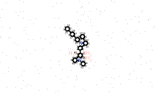 Bc1c(-c2ccc3c(c2)c2cccc(-c4ccccc4)c2n3-c2ccc(-c3ccc(-c4ccccc4)cc3)cc2)c(B)c2c3ccccc3n(-c3ccccc3)c2c1B